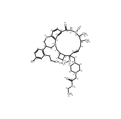 CCCc1cc(Cl)ccc1C1COc2ccc3cc2N(C1)CC1CCC1C(CN1CCN(CC(=O)OCC)CC1)(OC)/C=C/CC(C)C(C)[S+]([O-])NC3=O